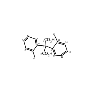 Cc1ccccc1C(C(=O)O)(C(=O)O)c1ccccc1C